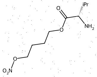 CC(C)[C@H](N)C(=O)OCCCCO[N+](=O)[O-]